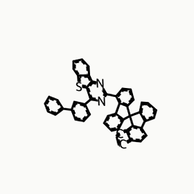 c1ccc(-c2cccc(-c3nc(-c4cccc5c4-c4ccccc4C54c5ccccc5-c5ccc6ccccc6c54)nc4c3sc3ccccc34)c2)cc1